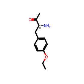 CCOc1ccc(C[C@@H](N)C(C)=O)cc1